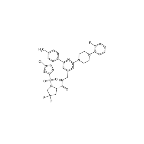 Cc1ccc(-c2cc(CNC(=O)[C@@H]3CC(F)(F)CN3S(=O)(=O)c3ccc(Cl)s3)cc(N3CCN(c4ccccc4F)CC3)n2)cc1